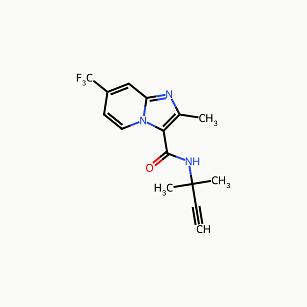 C#CC(C)(C)NC(=O)c1c(C)nc2cc(C(F)(F)F)ccn12